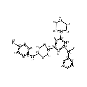 CN(c1ccccc1)c1nc(N2CCOCC2)nc(N2CCC(Oc3ccc(F)cc3)CC2)n1